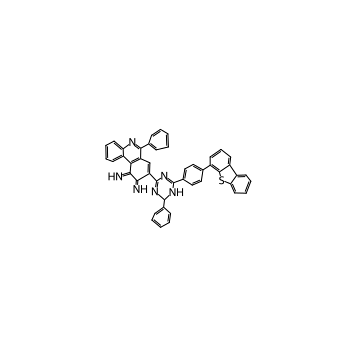 N=C1C(=N)c2c(c(-c3ccccc3)nc3ccccc23)C=C1C1=NC(c2ccccc2)NC(c2ccc(-c3cccc4c3sc3ccccc34)cc2)=N1